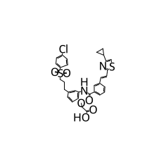 O=C(O)COc1ccc(CCCS(=O)(=O)c2ccc(Cl)cc2)cc1NC(=O)c1cccc(C=Cc2nc(C3CC3)cs2)c1